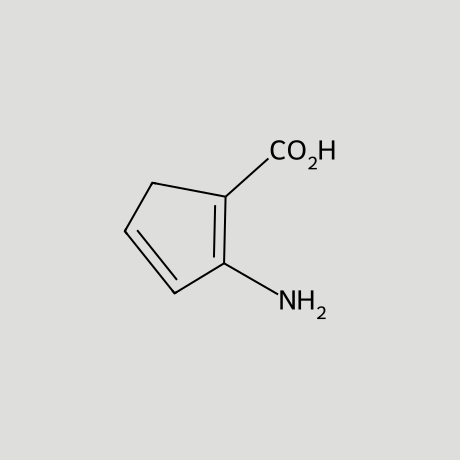 NC1=C(C(=O)O)CC=C1